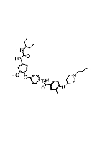 CCCCN1CCC(Oc2ccc(C(=O)Nc3ccc(Oc4ccc(NC(=O)NC(CC)CC)cc4OC)cc3)cc2C)CC1